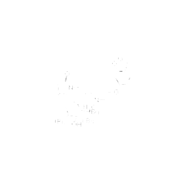 CCCCC1(O)C(C(C)(C)C)=CC([C@@H]2SCC(=O)N2CCCN(C)CCOc2ccc3c(c2)OOC3)C=C1C(C)(C)C